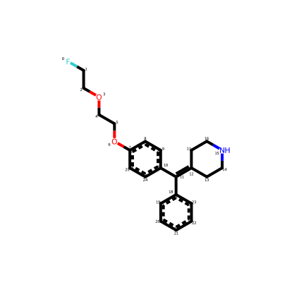 FCCOCCOc1ccc(C(=C2CCNCC2)c2ccccc2)cc1